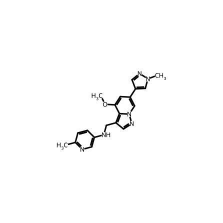 COc1cc(-c2cnn(C)c2)cn2ncc(CNc3ccc(C)nc3)c12